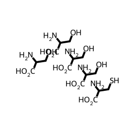 NC(CO)C(=O)O.NC(CO)C(=O)O.NC(CO)C(=O)O.NC(CO)C(=O)O.NC(CS)C(=O)O